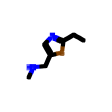 CCc1ncc(CNC)s1